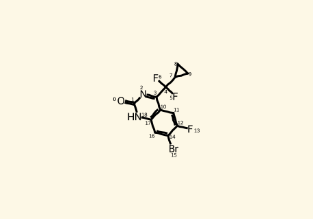 O=c1nc(C(F)(F)C2CC2)c2cc(F)c(Br)cc2[nH]1